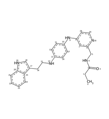 CCC(=O)NCc1cc(Nc2ccc(NCCc3c[nH]c4ccccc34)cc2)ccn1